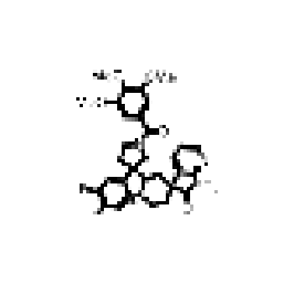 CCN1CCC(C(N)=O)(c2cccnc2)CC1C1(c2ccc(F)c(F)c2)CCN(C(=O)c2cc(OC)c(OC)c(OC)c2)C1